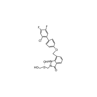 O=c1c2cccc(COc3ccc(-c4cc(F)c(F)cc4Cl)cc3)c2[nH]n1C[C@@H](O)CO